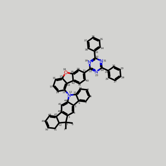 CC1(C)c2cc3c4ccccc4n(-c4cccc5oc6cc(-c7nc(-c8ccccc8)nc(-c8ccccc8)n7)ccc6c45)c3cc2C2=CC=CCC21